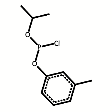 Cc1cccc(OP(Cl)OC(C)C)c1